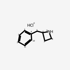 Cl.c1ccc(CC2CCN2)cc1